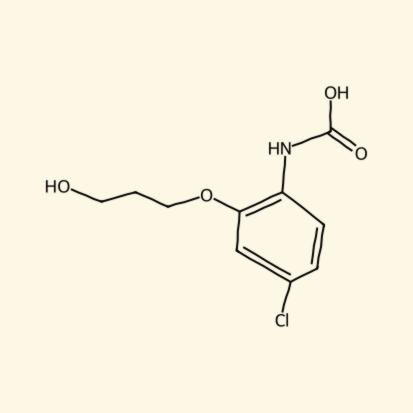 O=C(O)Nc1ccc(Cl)cc1OCCCO